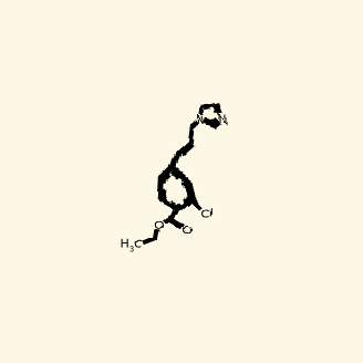 CCOC(=O)c1ccc(C=CCn2ccnc2)cc1Cl